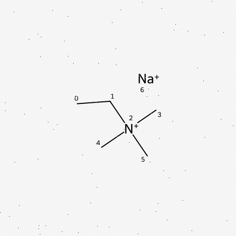 CC[N+](C)(C)C.[Na+]